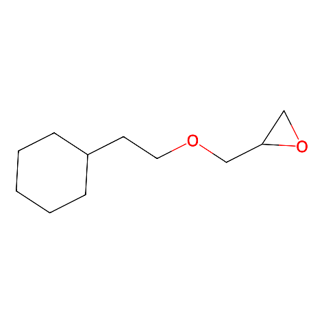 C1CCC(CCOCC2CO2)CC1